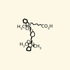 CN1/C(=C/C=C2C=C(/C=C/C3=[N+](CCCCCC(=O)O)c4ccccc4C3(C)C)CCC/2)C(C)(C)c2ccccc21